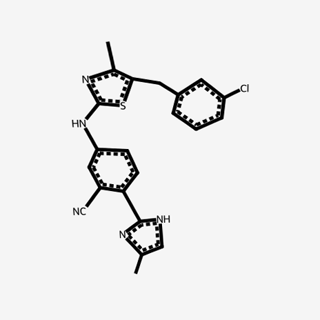 Cc1c[nH]c(-c2ccc(Nc3nc(C)c(Cc4cccc(Cl)c4)s3)cc2C#N)n1